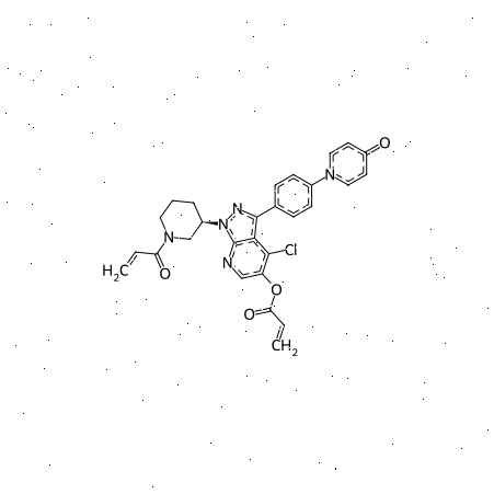 C=CC(=O)Oc1cnc2c(c(-c3ccc(-n4ccc(=O)cc4)cc3)nn2[C@@H]2CCCN(C(=O)C=C)C2)c1Cl